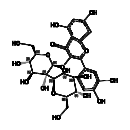 O=c1c(O[C@@H]2O[C@H](CO)[C@@H](O)[C@H](O)[C@]2(O)[C@@H]2O[C@H](CO)[C@@H](O)[C@H](O)[C@H]2O)c(-c2ccc(O)c(O)c2)oc2cc(O)cc(O)c12